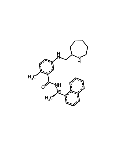 Cc1ccc(NCC2CCCCCN2)cc1C(=O)N[C@H](C)c1cccc2ccccc12